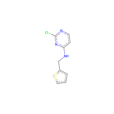 Clc1nccc(NCc2cccs2)n1